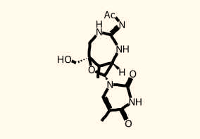 CC(=O)/N=C1\NC[C@]2(CO)O[C@@H](n3cc(C)c(=O)[nH]c3=O)[C@@H](N1)C2C